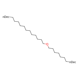 CCCCCCCCCCCCCCCCCCCCCCOCCCCCCCCCCCCCCCCC